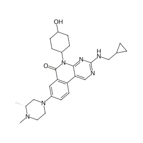 C[C@@H]1CN(c2ccc3c(c2)c(=O)n(C2CCC(O)CC2)c2nc(NCC4CC4)ncc32)CCN1C